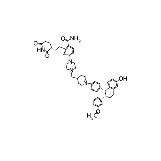 COc1cccc([C@H]2CCc3cc(O)ccc3[C@H]2c2ccc(N3CCC(CN4CCN(c5ccc(C(N)=O)c(CC[C@H]6CCC(=O)NC6=O)c5)CC4)CC3)cc2)c1